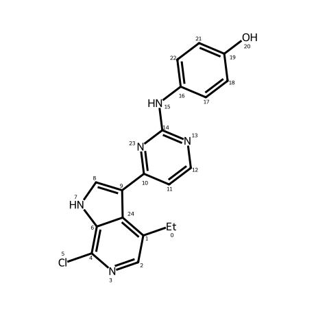 CCc1cnc(Cl)c2[nH]cc(-c3ccnc(Nc4ccc(O)cc4)n3)c12